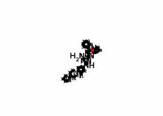 Nc1nc(Nc2ccc(N3CCC(N4CCCC4)CC3)c(F)c2)nn1-c1nc(-c2ccccc2)c2c(n1)C1CCN2CC1